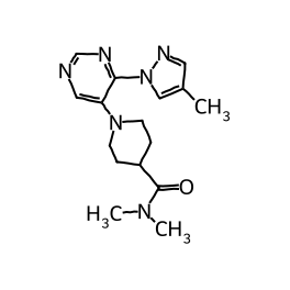 Cc1cnn(-c2ncncc2N2CCC(C(=O)N(C)C)CC2)c1